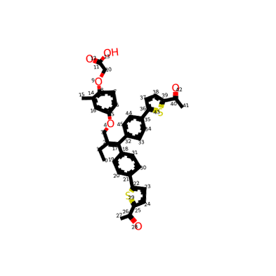 CCC(COc1ccc(OCC(=O)O)c(C)c1)=C(c1ccc(-c2ccc(C(C)=O)s2)cc1)c1ccc(-c2ccc(C(C)=O)s2)cc1